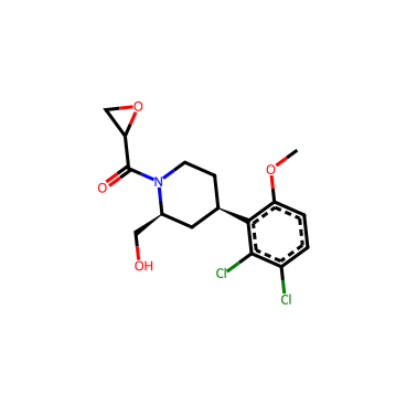 COc1ccc(Cl)c(Cl)c1[C@@H]1CCN(C(=O)C2CO2)[C@H](CO)C1